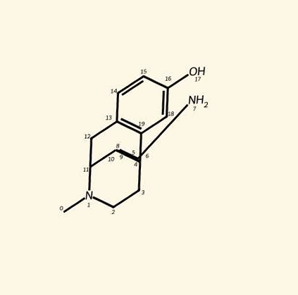 CN1CCC23CC(N)CCC2C1Cc1ccc(O)cc13